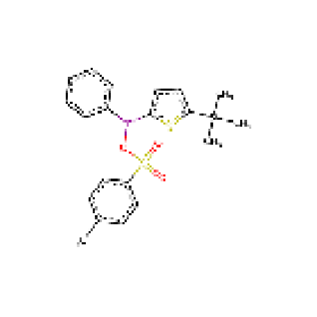 Cc1ccc(S(=O)(=O)O[I+](c2ccccc2)c2ccc([Si](C)(C)C)s2)cc1